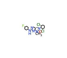 CN1C(=O)N(c2c(Cl)cccc2Cl)Cc2cnc(Nc3ccc(F)cc3)nc21